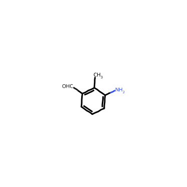 Cc1c(N)cccc1C=O